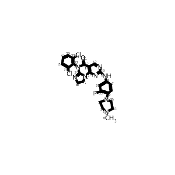 CN1CCN(c2ccc(Nc3ncc4c(n3)N3CCN=C3N(c3c(Cl)cccc3Cl)C4=O)cc2F)CC1